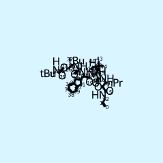 C=CCNC(=O)C(=O)C(CCC)NC(=O)[C@@H]1[C@@H]2[C@H](CN1C(=O)[C@@H](NC(=O)N[C@H](COC(=O)NC(C)(C)C)C(C)(C)C)C1Cc3ccccc3C1)C2(C)C